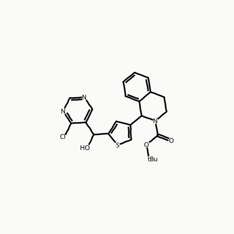 CC(C)(C)OC(=O)N1CCc2ccccc2C1c1csc(C(O)c2cncnc2Cl)c1